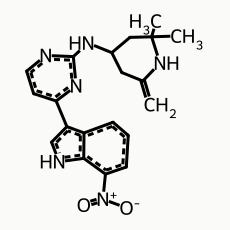 C=C1CC(Nc2nccc(-c3c[nH]c4c([N+](=O)[O-])cccc34)n2)CC(C)(C)N1